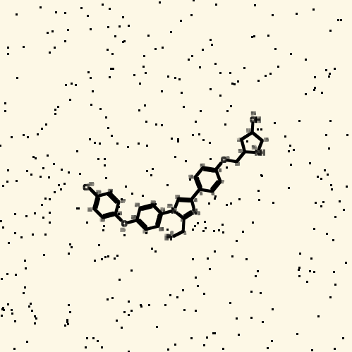 CC(C)Cc1nc(-c2ccc(OCC3CC(O)CN3)cc2)cn1-c1ccc(Oc2ccc(Cl)cc2)cc1